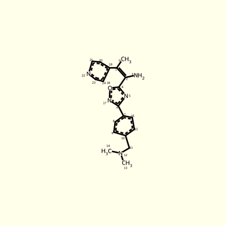 C/C(=C(\N)c1nc(-c2ccc(CN(C)C)cc2)no1)c1ccncc1